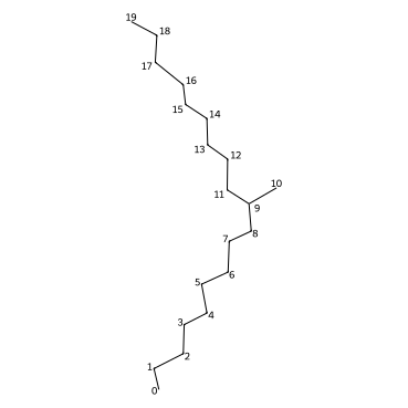 CCCCCCCCCC(C)CCCCCCCCC